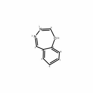 C1=NN=Cc2ccccc2O1